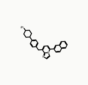 CC(C)C1CCC(c2ccc(Cc3ccc(-c4ccc5ccccc5c4)n4ccnc34)cc2)CC1